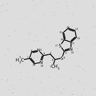 Cc1cnc(CC(C)Sc2nc3ccccc3s2)nc1